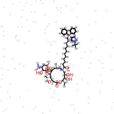 CC[C@H]1[C@H](OC)[C@@H](C)C(=O)O[C@H](CC)[C@@H](O)[C@H](O)[C@@H](C)N(C(=O)CCCCCCCCCCC[PH](c2ccccc2)(c2ccccc2)c2cnn(C(C)(C)C)c2)C[C@H](C)C[C@@](C)(O)[C@@H]1O[C@@H]1O[C@H](C)C[C@H](N(C)C)[C@H]1O